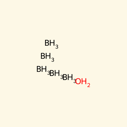 B.B.B.B.B.O